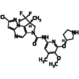 COc1c(C)cc(NC(=O)N2C[C@@](C)(C(F)(F)F)c3c2cnc2cc(Cl)nn32)nc1O[C@H]1CCNC1